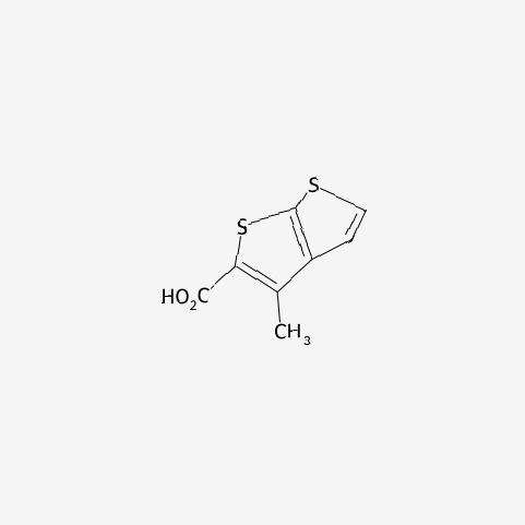 Cc1c(C(=O)O)sc2sccc12